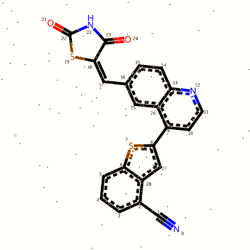 N#Cc1cccc2sc(-c3ccnc4ccc(/C=C5/SC(=O)NC5=O)cc34)cc12